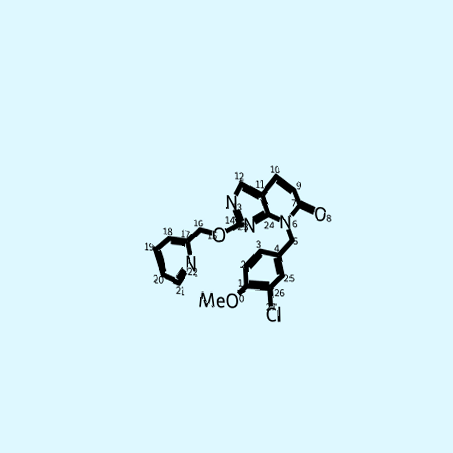 COc1ccc(Cn2c(=O)ccc3cnc(OCc4ccccn4)nc32)cc1Cl